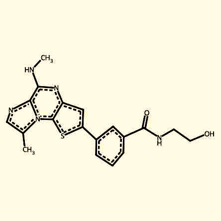 CNc1nc2cc(-c3cccc(C(=O)NCCO)c3)sc2n2c(C)cnc12